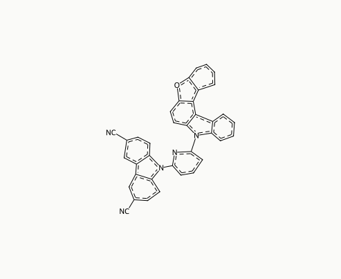 N#Cc1ccc2c(c1)c1cc(C#N)ccc1n2-c1cccc(-n2c3ccccc3c3c4c(ccc32)oc2ccccc24)n1